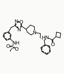 CS(=O)(=O)Nc1cccc(Cc2noc(C3CCN(CC[C@H](NC(=O)C4CCC4)c4ccccc4)CC3)n2)c1